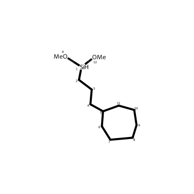 CO[SiH](CCCC1CCCCCC1)OC